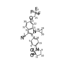 N#Cc1c(-c2ccc(N3CCCS3(=O)=O)cc2)n(C2CC2)c2cc(OCC(F)(F)F)ccc12